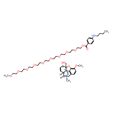 CCCCNc1ccc(C(=O)OCCOCCOCCOCCOCCOCCOCCOCCOCCOC)cc1.COc1ccc2c3c1O[C@H]1[C@@H](O)C=C[C@H]4[C@@H](C2)N(C)CC[C@@]341